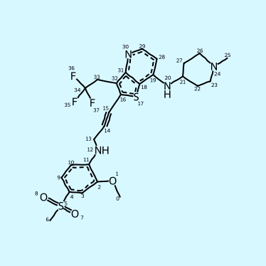 COc1cc(S(C)(=O)=O)ccc1NCC#Cc1sc2c(NC3CCN(C)CC3)ccnc2c1CC(F)(F)F